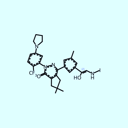 Cc1cc(/C(O)=C/NI)cc(-c2nn(-c3cc(N4CCCC4)ccc3C(F)(F)F)c(=O)c3c2CC(C)(C)C3)c1